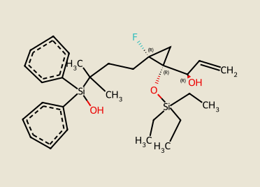 C=C[C@@H](O)[C@]1(O[Si](CC)(CC)CC)C[C@]1(F)CCC(C)(C)[Si](O)(c1ccccc1)c1ccccc1